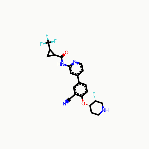 N#Cc1cc(-c2ccnc(NC(=O)C3CC3C(F)(F)F)c2)ccc1O[C@H]1CCNC[C@H]1F